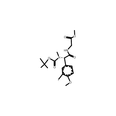 COC(=O)CNC(=O)[C@H](c1ccc(OC)c(I)c1)N(C)C(=O)OC(C)(C)C